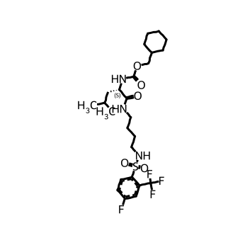 CC(C)C[C@H](NC(=O)OCC1CCCCC1)C(=O)NCCCCNS(=O)(=O)c1ccc(F)cc1C(F)(F)F